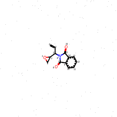 C=CC(C1CO1)N1C(=O)c2ccccc2C1=O